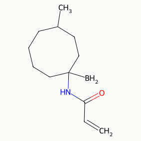 BC1(NC(=O)C=C)CCCCC(C)CC1